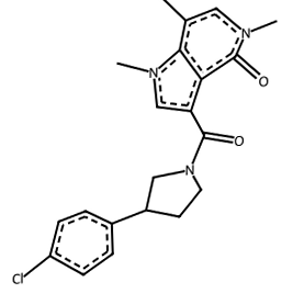 Cc1cn(C)c(=O)c2c(C(=O)N3CCC(c4ccc(Cl)cc4)C3)cn(C)c12